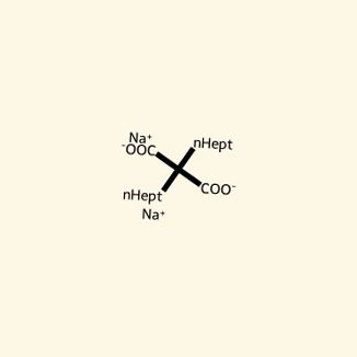 CCCCCCCC(CCCCCCC)(C(=O)[O-])C(=O)[O-].[Na+].[Na+]